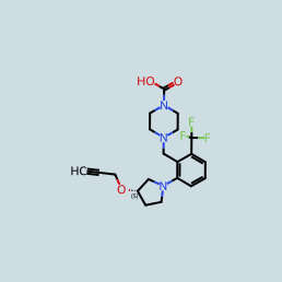 C#CCO[C@H]1CCN(c2cccc(C(F)(F)F)c2CN2CCN(C(=O)O)CC2)C1